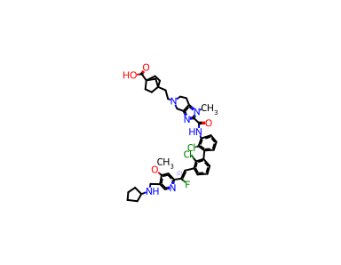 COc1cc(/C(F)=C/c2cccc(-c3cccc(NC(=O)c4nc5c(n4C)CCN(CCC46CCC(C(=O)O)(CC4)C6)C5)c3Cl)c2Cl)ncc1CNC1CCCC1